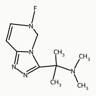 CN(C)C(C)(C)c1nnc2n1CN(F)C=C2